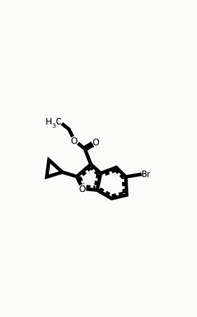 CCOC(=O)c1c(C2CC2)oc2ccc(Br)cc12